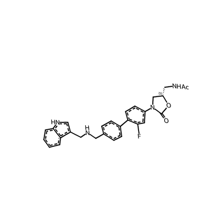 CC(=O)NC[C@H]1CN(c2ccc(-c3ccc(CNCc4c[nH]c5ccccc45)cc3)c(F)c2)C(=O)O1